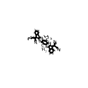 Cc1c2nc3c(nc2c(C)c2nc4c(nc12)-c1ccccc1C4=C(C#N)C#N)-c1ccccc1C3=C(C#N)C#N